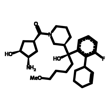 COCCCC[C@@](O)(c1cccc(F)c1C1C=CCCC1)[C@@H]1CCCN(C(=O)[C@H]2C[C@@H](N)[C@@H](O)C2)C1